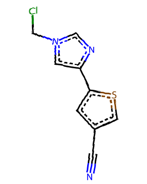 N#Cc1csc(-c2cn(CCl)cn2)c1